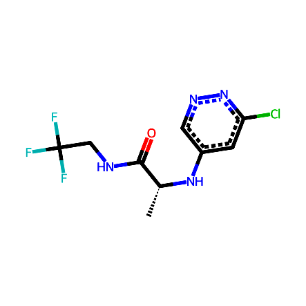 C[C@@H](Nc1cnnc(Cl)c1)C(=O)NCC(F)(F)F